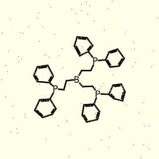 c1ccc(P(CCB(CCP(c2ccccc2)c2ccccc2)CCP(c2ccccc2)c2ccccc2)c2ccccc2)cc1